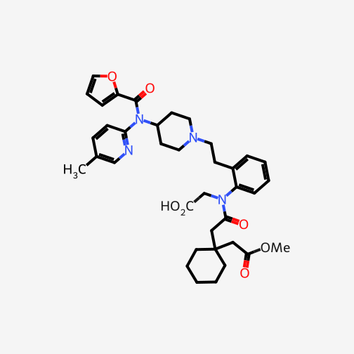 COC(=O)CC1(CC(=O)N(CC(=O)O)c2ccccc2CCN2CCC(N(C(=O)c3ccco3)c3ccc(C)cn3)CC2)CCCCC1